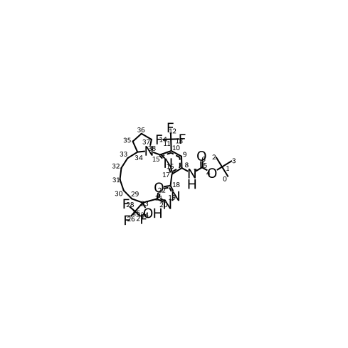 CC(C)(C)OC(=O)Nc1cc(C(F)(F)F)c2nc1-c1nnc(o1)C(O)(C(F)(F)F)CCCCCC1CCCN21